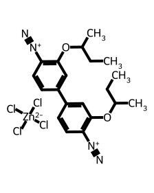 CCC(C)Oc1cc(-c2ccc([N+]#N)c(OC(C)CC)c2)ccc1[N+]#N.[Cl][Zn-2]([Cl])([Cl])[Cl]